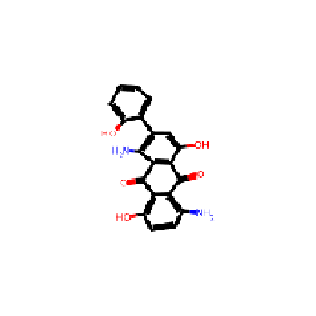 Nc1ccc(O)c2c1C(=O)c1c(O)cc(-c3ccccc3O)c(N)c1C2=O